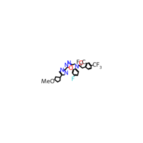 COC1CCC(c2cnc(-c3nnc(CN(C(=O)Cc4ccc(C(F)(F)F)cc4C(F)(F)F)c4ccc(F)cc4)o3)nc2)C1